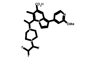 COc1cc(-c2ccn3c(C(C)N4CCN(C(F)C(F)F)CC4)c(C)c(C(=O)O)cc23)ccn1